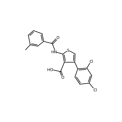 Cc1cccc(C(=O)Nc2scc(-c3ccc(Cl)cc3Cl)c2C(=O)O)c1